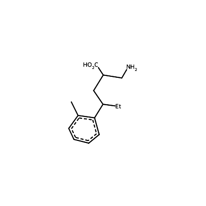 CCC(CC(CN)C(=O)O)c1ccccc1C